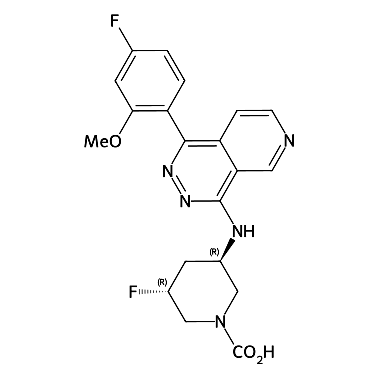 COc1cc(F)ccc1-c1nnc(N[C@@H]2C[C@@H](F)CN(C(=O)O)C2)c2cnccc12